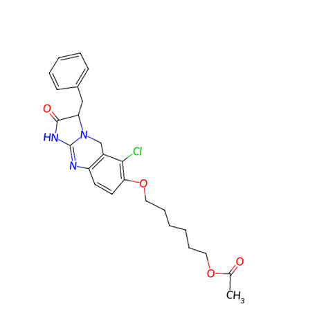 CC(=O)OCCCCCCOc1ccc2c(c1Cl)CN1C(=N2)NC(=O)C1Cc1ccccc1